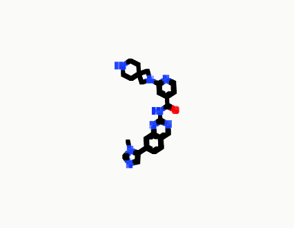 Cn1cncc1-c1ccc2cnc(NC(=O)c3ccnc(N4CC5(CCNCC5)C4)c3)nc2c1